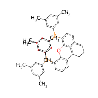 Cc1cc(C)cc(P(c2cc(C)cc(C)c2)c2cccc3c2Oc2c(P(c4cc(C)cc(C)c4)c4cc(C)cc(C)c4)ccc4c2=C3CCC=4)c1